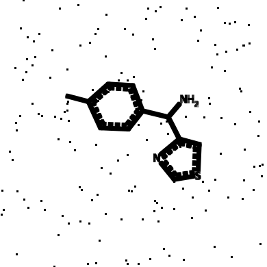 Cc1ccc(C(N)c2cs[c]n2)cc1